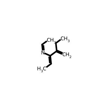 C=C(CC)C(=C/C)/N=C\C